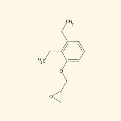 CCc1cccc(OCC2CO2)c1CC